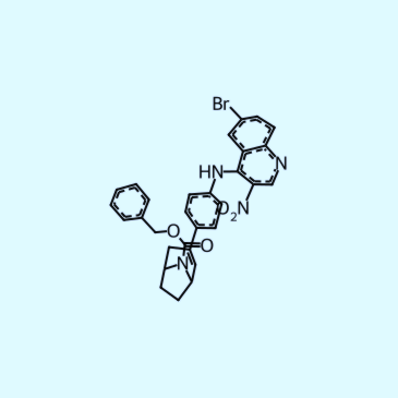 O=C(OCc1ccccc1)N1C2C=C(c3ccc(Nc4c([N+](=O)[O-])cnc5ccc(Br)cc45)cc3)CC1CC2